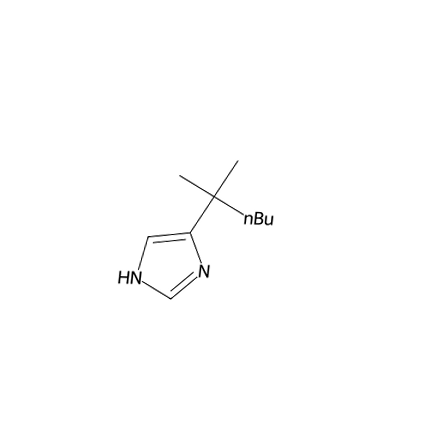 CCCCC(C)(C)c1c[nH]cn1